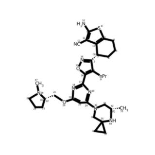 CCCc1c([C@H]2CCCc3sc(N)c(C#N)c32)noc1-c1nc(OC[C@@H]2CCCN2C)cc(N2C[C@H](C)NC3(CC3)C2)n1